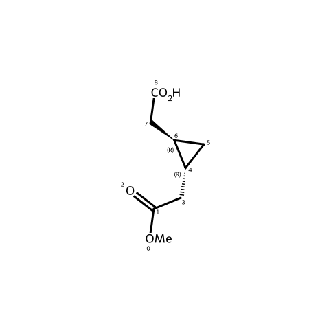 COC(=O)C[C@H]1C[C@@H]1CC(=O)O